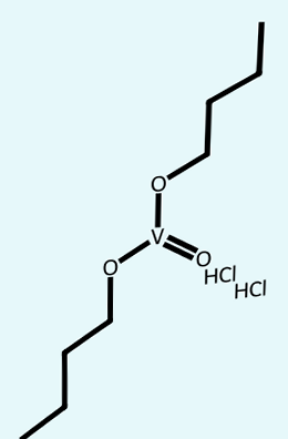 CCCC[O][V](=[O])[O]CCCC.Cl.Cl